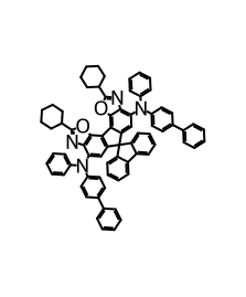 c1ccc(-c2ccc(N(c3ccccc3)c3cc4c(c5oc(C6CCCCC6)nc35)-c3c(cc(N(c5ccccc5)c5ccc(-c6ccccc6)cc5)c5nc(C6CCCCC6)oc35)C43c4ccccc4-c4ccccc43)cc2)cc1